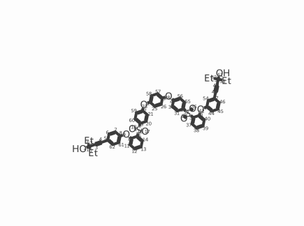 CCC(O)(C#Cc1ccc(Oc2ccccc2S(=O)(=O)c2ccc(Oc3ccc(Oc4ccc(S(=O)(=O)c5ccccc5Oc5cccc(C#CC(O)(CC)CC)c5)cc4)cc3)cc2)cc1)CC